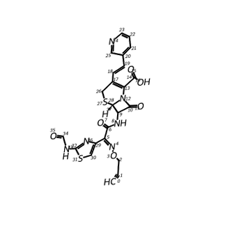 C#CCON=C(C(=O)NC1C(=O)N2C(C(=O)O)=C(C=Cc3cccnc3)CS[C@@H]12)c1csc(NC=O)n1